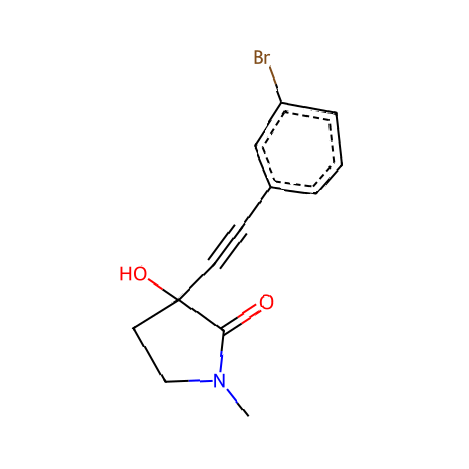 CN1CCC(O)(C#Cc2cccc(Br)c2)C1=O